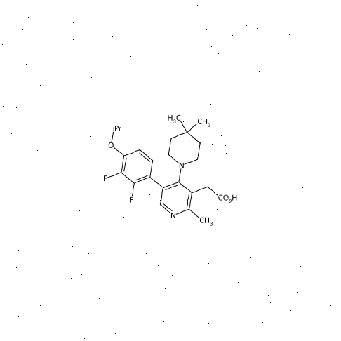 Cc1ncc(-c2ccc(OC(C)C)c(F)c2F)c(N2CCC(C)(C)CC2)c1CC(=O)O